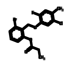 CCC(=O)Oc1cccc(Br)c1COc1cc(Cl)c(C)cc1F